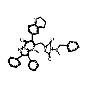 CB(Cc1ccccc1)N1C(=O)CN(Cc2c(-c3ccc4c(c3)=CCCN=4)c(=O)n3nc(-c4ccccc4)c(-c4ccccc4)c3n2I)C1=O